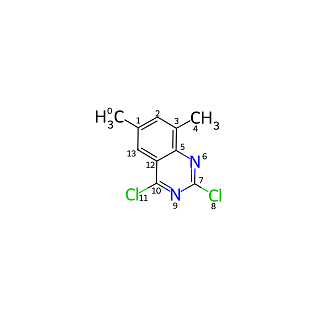 Cc1cc(C)c2nc(Cl)nc(Cl)c2c1